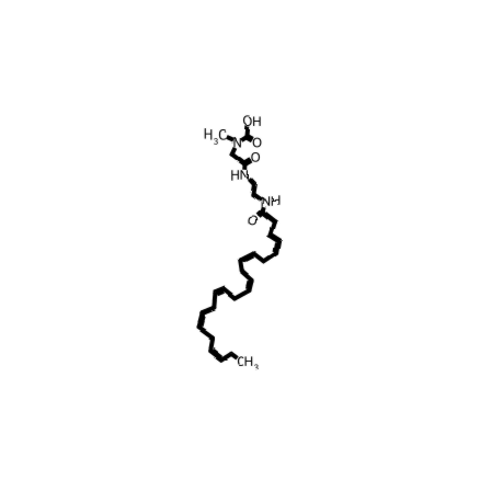 CC/C=C\C/C=C\C/C=C\C/C=C\C/C=C\C/C=C\CCC(=O)NCCNC(=O)CN(C)C(=O)O